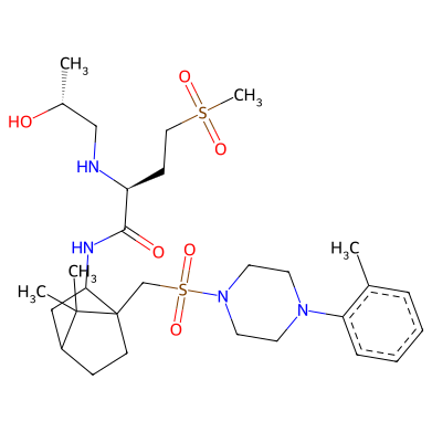 Cc1ccccc1N1CCN(S(=O)(=O)CC23CCC(CC2NC(=O)[C@H](CCS(C)(=O)=O)NC[C@@H](C)O)C3(C)C)CC1